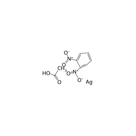 CC(=O)O.O=[N+]([O-])c1ccccc1[N+](=O)[O-].[Ag]